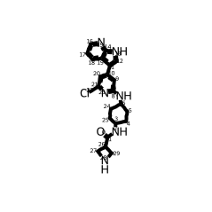 O=C(NC1CCC(Nc2cc(-c3c[nH]c4ncccc34)cc(Cl)n2)CC1)C1CNC1